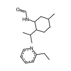 CC1CCC(C(C)C)C(NC=O)C1.CCc1ccccn1